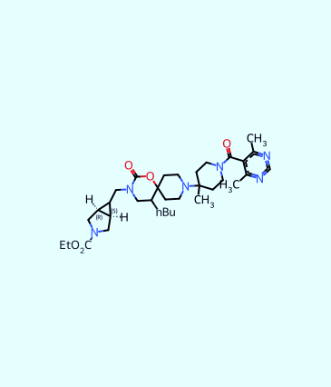 CCCCC1CN(CC2[C@H]3CN(C(=O)OCC)C[C@@H]23)C(=O)OC12CCN(C1(C)CCN(C(=O)c3c(C)ncnc3C)CC1)CC2